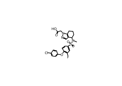 CN(C1CCCc2c1cnn2CC(=O)O)S(=O)(=O)c1ccc(Oc2ccc(Cl)cc2)c(F)c1